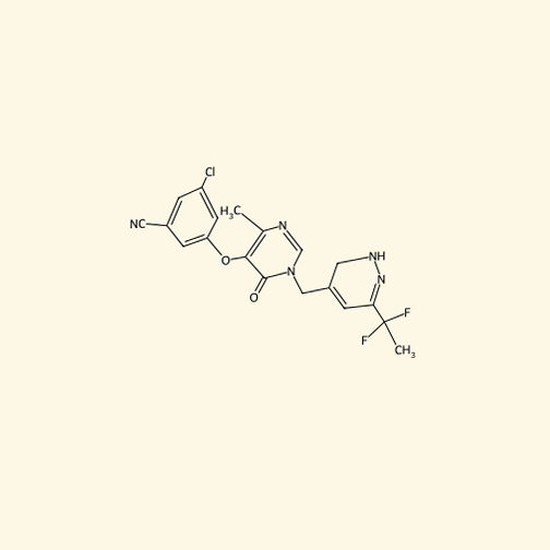 Cc1ncn(CC2=CC(C(C)(F)F)=NNC2)c(=O)c1Oc1cc(Cl)cc(C#N)c1